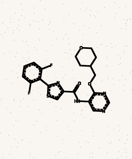 O=C(Nc1cncnc1OCC1CCOCC1)c1csc(-c2c(F)cccc2F)n1